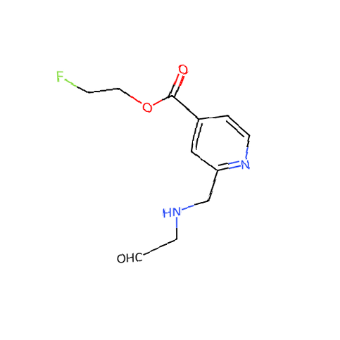 O=CCNCc1cc(C(=O)OCCF)ccn1